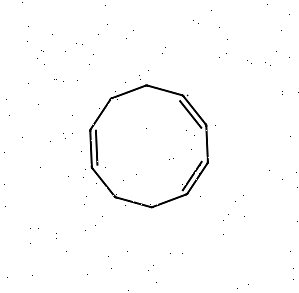 [C]1=CC=CCCC=CCC1